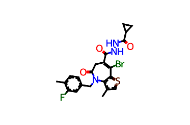 Cc1ccc(CN2C(=O)CC(C(=O)NNC(=O)C3CC3)=C(Br)c3scc(C)c32)cc1F